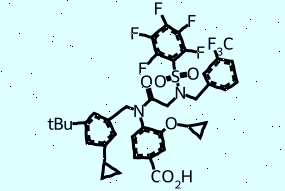 CC(C)(C)c1cc(CN(C(=O)CN(Cc2cccc(C(F)(F)F)c2)S(=O)(=O)c2c(F)c(F)c(F)c(F)c2F)c2ccc(C(=O)O)cc2OC2CC2)cc(C2CC2)c1